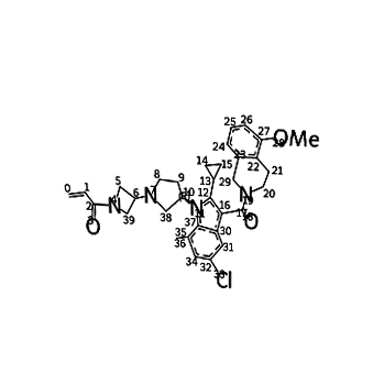 C=CC(=O)N1CC(N2CC[C@@H](n3c(C4CC4)c(C(=O)N4CCc5c(cccc5OC)C4)c4cc(Cl)cc(C)c43)C2)C1